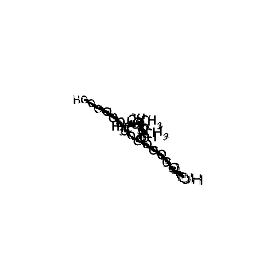 CC(O)COC(C)COC(C)CO.OCCOCCOCCOCCOCCOCCOCCOCCOCCOCCOCCOCCOCCOCCO